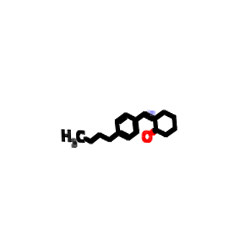 CCCCc1ccc(/C=C2/CCCCC2=O)cc1